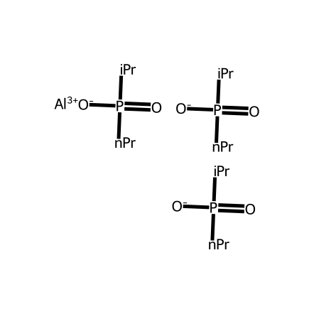 CCCP(=O)([O-])C(C)C.CCCP(=O)([O-])C(C)C.CCCP(=O)([O-])C(C)C.[Al+3]